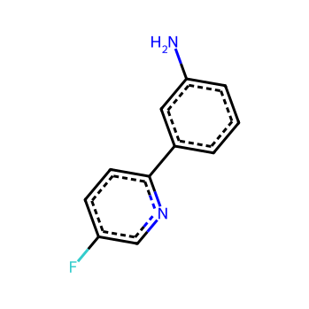 Nc1cccc(-c2ccc(F)cn2)c1